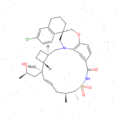 CO[C@@]1(C[C@@H](C)O)/C=C/C[C@H](C)[C@@H](C)S(=O)(=O)NC(=O)c2ccc3c(c2)N(C[C@@H]2CC[C@H]21)C[C@@]1(CCCc2cc(Cl)ccc21)CO3